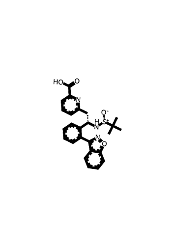 CC(C)(C)[S@+]([O-])N[C@@H](Cc1cccc(C(=O)O)n1)c1ccccc1-c1noc2ccccc12